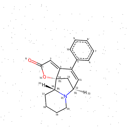 O=C1C=C2C(c3ccccc3)=C[C@@H]3C[C@@]2(O1)[C@H]1CCCCN31